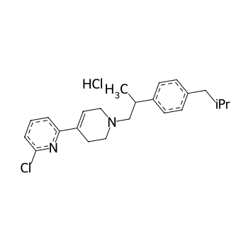 CC(C)Cc1ccc(C(C)CN2CC=C(c3cccc(Cl)n3)CC2)cc1.Cl